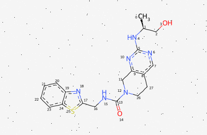 C[C@@H](CO)Nc1ncc2c(n1)CN(C(=O)NCc1nc3ccccc3s1)CC2